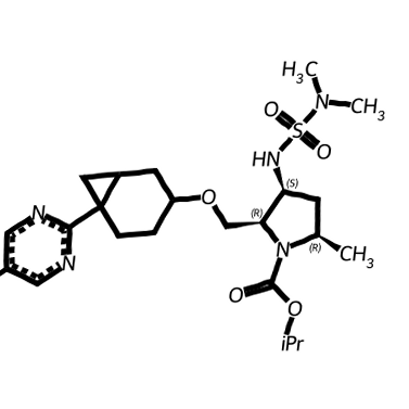 CC(C)OC(=O)N1[C@H](C)C[C@H](NS(=O)(=O)N(C)C)[C@@H]1COC1CCC2(c3ncc(F)cn3)CC2C1